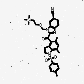 Cc1ccc(S(=O)(=O)n2ccc3c(C(=O)c4nc5ccc(C#N)cc5n4COCC[Si](C)(C)C)c(C)cc(C)c32)cc1